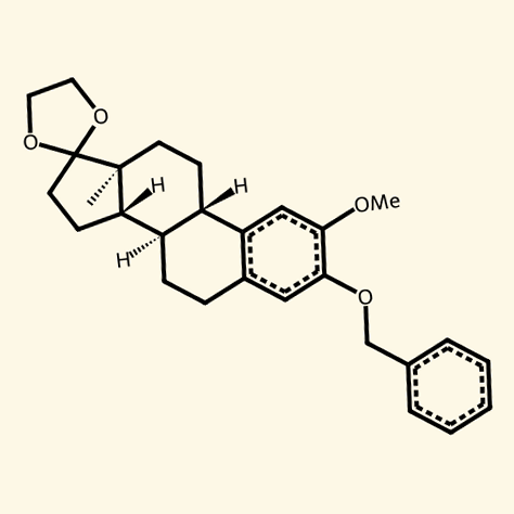 COc1cc2c(cc1OCc1ccccc1)CC[C@@H]1[C@@H]2CC[C@@]2(C)[C@H]1CCC21OCCO1